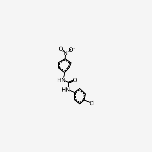 O=C(Nc1ccc(Cl)cc1)Nc1ccc([N+](=O)[O-])cc1